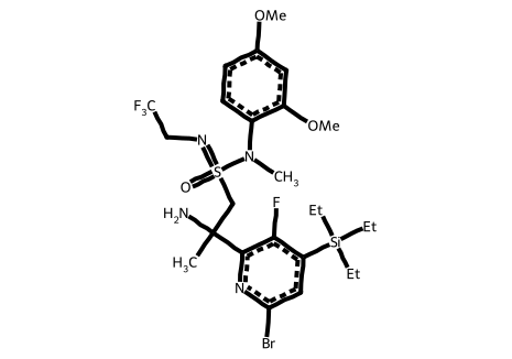 CC[Si](CC)(CC)c1cc(Br)nc(C(C)(N)CS(=O)(=NCC(F)(F)F)N(C)c2ccc(OC)cc2OC)c1F